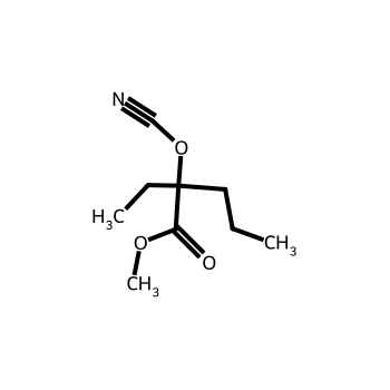 CCCC(CC)(OC#N)C(=O)OC